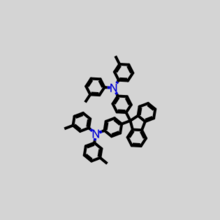 Cc1cccc(N(c2ccc(C3(c4ccc(N(c5cccc(C)c5)c5cccc(C)c5)cc4)c4ccccc4-c4ccccc43)cc2)c2cccc(C)c2)c1